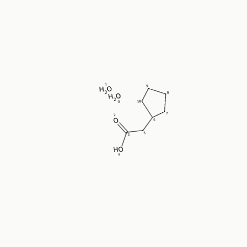 O.O.O=C(O)CC1CCCC1